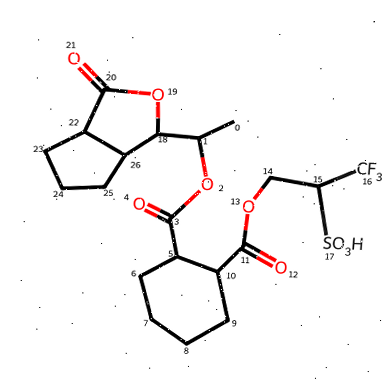 CC(OC(=O)C1CCCCC1C(=O)OCC(C(F)(F)F)S(=O)(=O)O)C1OC(=O)C2CCCC21